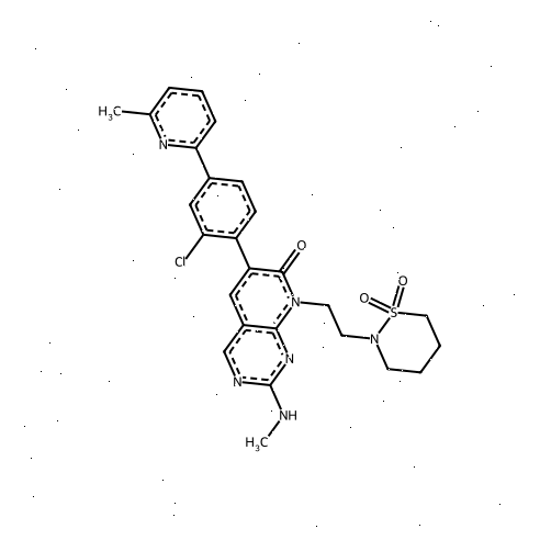 CNc1ncc2cc(-c3ccc(-c4cccc(C)n4)cc3Cl)c(=O)n(CCN3CCCCS3(=O)=O)c2n1